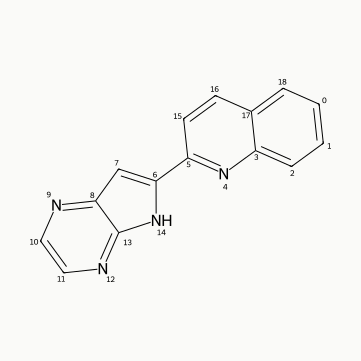 c1ccc2nc(-c3cc4nccnc4[nH]3)ccc2c1